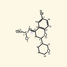 CC(C)(C)[S+]([O-])/N=C1\CC(C2CCCOC2)Oc2ccc(Br)cc21